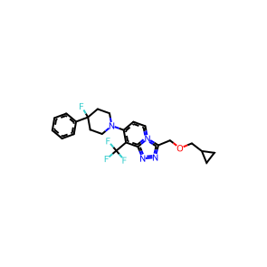 FC(F)(F)c1c(N2CCC(F)(c3ccccc3)CC2)ccn2c(COCC3CC3)nnc12